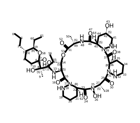 CCC[C@H]1CC[C@](O)([C@](C)(O)C(=O)N[C@@H]2C(=O)N3NCCC[C@@H]3C(=O)N(O)[C@@H](C)C(=O)N3NCCC[C@@H]3C(=O)N3NC[C@@H](O)C[C@H]3C(=O)N[C@@H](C)C(=O)O[C@H]2C(C)C)O[C@@H]1CC